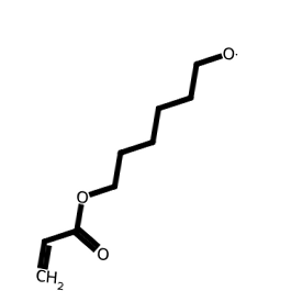 C=CC(=O)OCCCCCC[O]